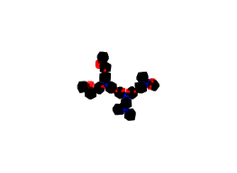 c1ccc(-n2c3ccccc3c3cc(-c4ccc(N(c5ccc(-c6ccc(N(c7ccc(-c8ccc9c(c8)oc8ccccc89)cc7)c7ccc(-c8cccc9c8oc8ccccc89)cc7)cc6)cc5)c5ccc6c(c5)c5ccccc5n6-c5ccccc5)cc4)ccc32)cc1